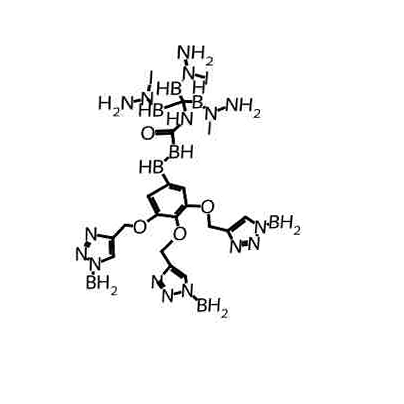 Bn1cc(COc2cc(BBC(=O)NC(BN(N)I)(BN(N)I)BN(N)I)cc(OCc3cn(B)nn3)c2OCc2cn(B)nn2)nn1